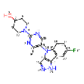 Cc1nc(N2CCC(O)CC2)ncc1-n1c2ccc(F)cc2c2[nH]ncc21